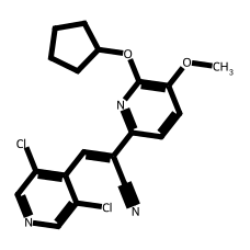 COc1ccc(C(C#N)=Cc2c(Cl)cncc2Cl)nc1OC1CCCC1